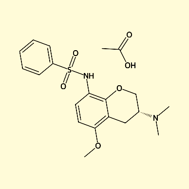 CC(=O)O.COc1ccc(NS(=O)(=O)c2ccccc2)c2c1C[C@@H](N(C)C)CO2